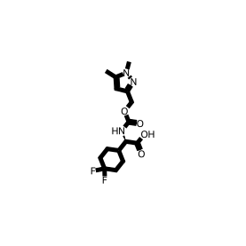 Cc1cc(COC(=O)N[C@H](C(=O)O)C2CCC(F)(F)CC2)nn1C